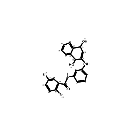 O=C(Nc1cccc(NC2=CC(O)c3ccccc3C2O)c1)c1cc(Br)ccc1Br